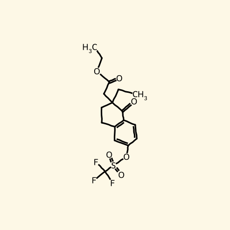 CCOC(=O)CC1(CC)CCc2cc(OS(=O)(=O)C(F)(F)F)ccc2C1=O